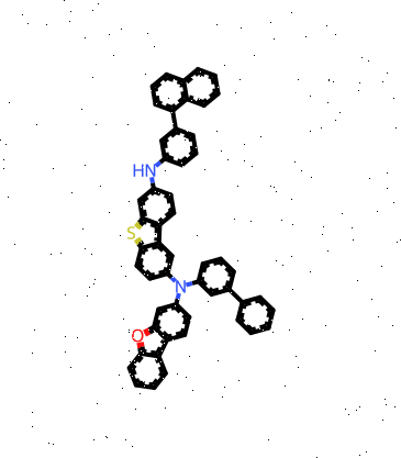 c1ccc(-c2cccc(N(c3ccc4c(c3)oc3ccccc34)c3ccc4sc5cc(Nc6cccc(-c7cccc8ccccc78)c6)ccc5c4c3)c2)cc1